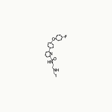 O=C(NCCNCI)c1cccc(-c2ccc(Oc3ccc(F)cc3)cc2)n1